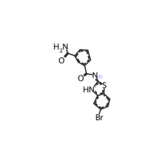 NC(=O)c1cccc(C(=O)/N=c2\[nH]c3cc(Br)ccc3s2)c1